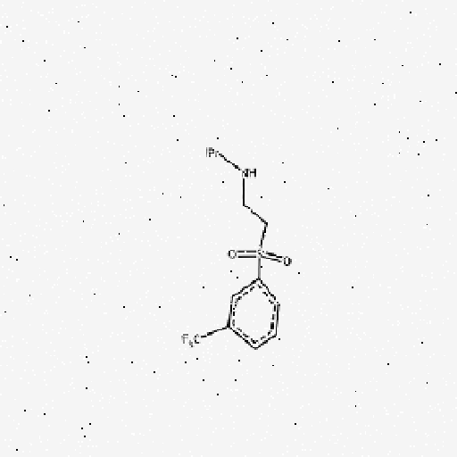 CC(C)NCCS(=O)(=O)c1cccc(C(F)(F)F)c1